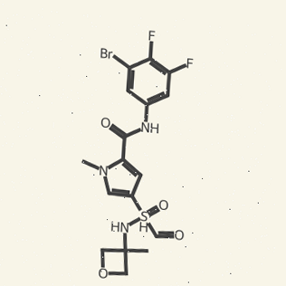 Cn1cc([SH](=O)(C=O)NC2(C)COC2)cc1C(=O)Nc1cc(F)c(F)c(Br)c1